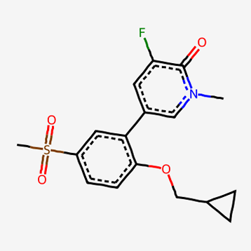 Cn1cc(-c2cc(S(C)(=O)=O)ccc2OCC2CC2)cc(F)c1=O